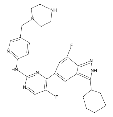 Fc1cnc(Nc2ccc(CN3CCNCC3)cn2)nc1-c1cc(F)c2n[nH]c(C3CCCCC3)c2c1